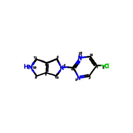 Clc1cnc(N2CC3=C(CNC3)C2)nc1